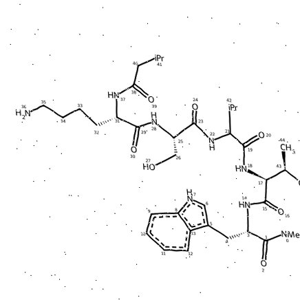 CNC(=O)[C@H](Cc1c[nH]c2ccccc12)NC(=O)[C@@H](NC(=O)C(NC(=O)[C@H](CO)NC(=O)[C@H](CCCCN)NC(=O)CC(C)C)C(C)C)[C@@H](C)O